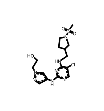 CS(=O)(=O)N1CCC(CNc2nc(Nc3cnn(CCO)c3)ncc2Cl)C1